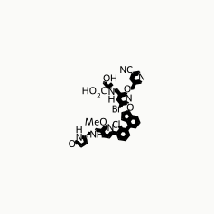 COc1nc(-c2cccc(-c3cccc4c3CC[C@@H]4Oc3nc(OCc4cncc(C#N)c4)c(CN[C@@](C)(CO)C(=O)O)cc3Br)c2Cl)ccc1CNC[C@@H]1CCC(=O)N1